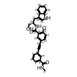 CNC(=O)c1cccc(C#Cc2ccc(Cl)c(C(=O)N[C@@H](CO)Cc3c[nH]c4ccccc34)c2)c1